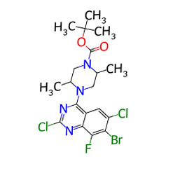 CC1CN(c2nc(Cl)nc3c(F)c(Br)c(Cl)cc23)C(C)CN1C(=O)OC(C)(C)C